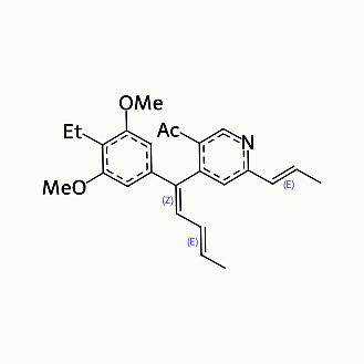 C/C=C/C=C(/c1cc(OC)c(CC)c(OC)c1)c1cc(/C=C/C)ncc1C(C)=O